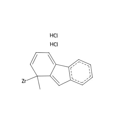 C[C]1([Zr])C=CC=C2C1=Cc1ccccc12.Cl.Cl